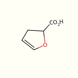 O=C(O)C1CC=CO1